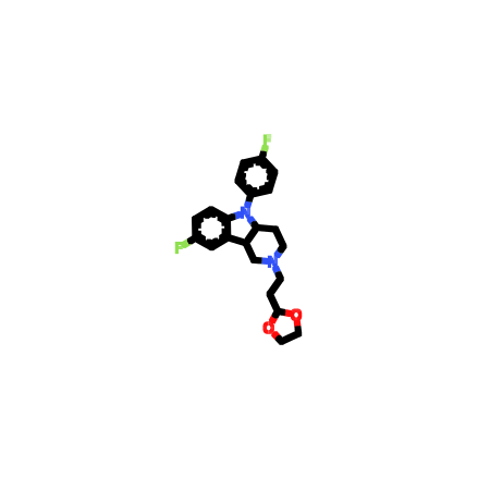 Fc1ccc(N2c3ccc(F)cc3C3CN(CCC4OCCO4)CCC32)cc1